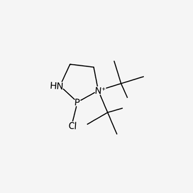 CC(C)(C)[N+]1(C(C)(C)C)CCNP1Cl